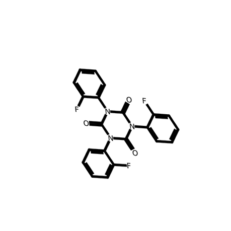 O=c1n(-c2ccccc2F)c(=O)n(-c2ccccc2F)c(=O)n1-c1ccccc1F